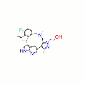 C=Cc1c(F)ccc2c1[C@@H](C)c1c[nH]c3ncc(cc13)-c1c(C)nn(CCO)c1CN(C)C2